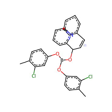 Cc1ccc(OB(Oc2ccc(C)c(Cl)c2)OC(/C=C\c2ccccc2)c2ccccn2)cc1Cl